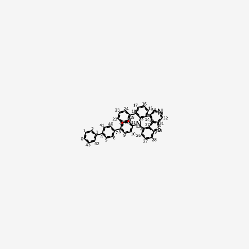 c1ccc(-c2ccc(-c3ccc(N(c4ccccc4-c4ccccc4)c4cccc5sc6cnccc6c45)cc3)cc2)cc1